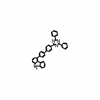 C[Si]1(C)c2ccccc2-c2c(-c3ccc(-c4ccc(-c5nc(-c6ccccc6)nc(-c6ccccc6)n5)cc4)cc3)cccc21